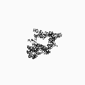 CC(C)C[C@H](NC(=O)[C@H](CO)NC(=O)[C@H](CO)NC(=O)[C@H](CCCCN)NC(=O)[C@@H]1CCCN1C(=O)[C@H](C)NC(=O)[C@H](Cc1c[nH]cn1)NC(=O)[C@@H]1CCCN1C(=O)[C@H](C)NC(=O)[C@H](CCCNC(=N)N)NC(=O)[C@@H]1CCCN1C(=O)[C@@H](NC(=O)[C@H](C)NC(=O)[C@@H]1CCCN1C(=O)[C@H](CC(=O)O)NC(=O)[C@@H](N)Cc1c[nH]cn1)C(C)C)C(=O)N1CCC[C@H]1C(=O)N1CCC[C@H]1C(=O)N1CCC[C@H]1C(=O)N1CCC[C@H]1C(=O)O